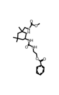 COC(=O)NCC1(C)CC(NC(=O)NCCOC(=O)c2ccccc2)CC(C)(C)C1